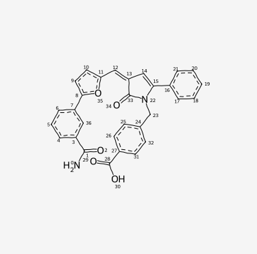 NC(=O)c1cccc(-c2ccc(C=C3C=C(c4ccccc4)N(Cc4ccc(C(=O)O)cc4)C3=O)o2)c1